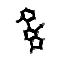 Cc1ccccc1-c1ccc2c(c1Br)C=CC2C